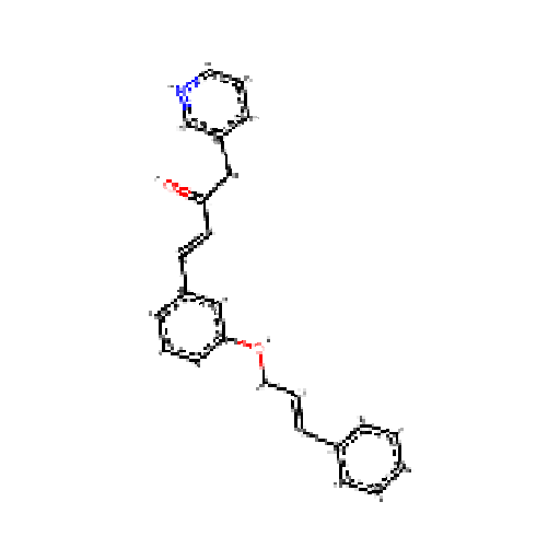 O=C(C=Cc1cccc(OCC=Cc2ccccc2)c1)Cc1cccnc1